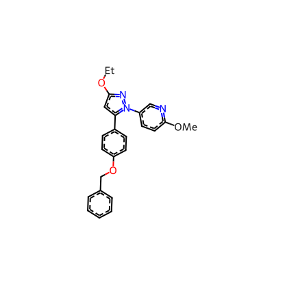 CCOc1cc(-c2ccc(OCc3ccccc3)cc2)n(-c2ccc(OC)nc2)n1